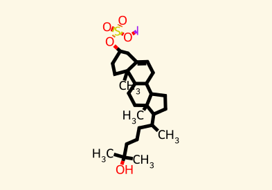 CC(CCCC(C)(C)O)C1CCC2C3CC=C4CC(OS(=O)(=O)OI)CCC4(C)C3CCC12C